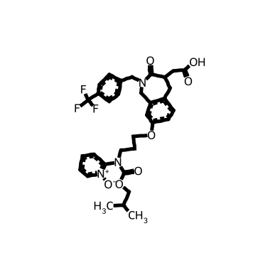 CC(C)COC(=O)N(CCCOc1ccc2c(c1)CN(Cc1ccc(C(F)(F)F)cc1)C(=O)C(CC(=O)O)C2)c1cccc[n+]1[O-]